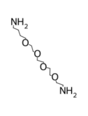 NCCCCOCCOCCOCCOCCN